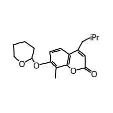 [CH2]C(C)Cc1cc(=O)oc2c(C)c(OC3CCCCO3)ccc12